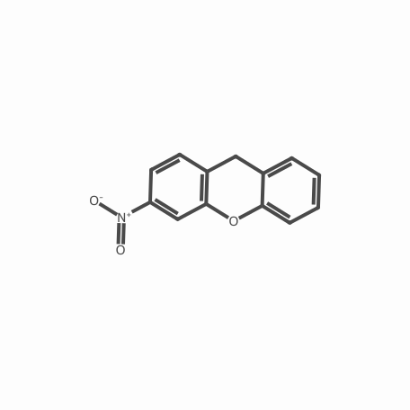 O=[N+]([O-])c1ccc2c(c1)Oc1ccccc1C2